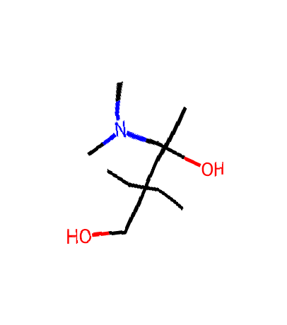 CN(C)C(C)(O)C(C)(C)CO